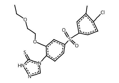 CCOCCOc1cc(S(=O)(=O)c2ccc(Cl)c(C)c2)ccc1-n1cn[nH]c1=S